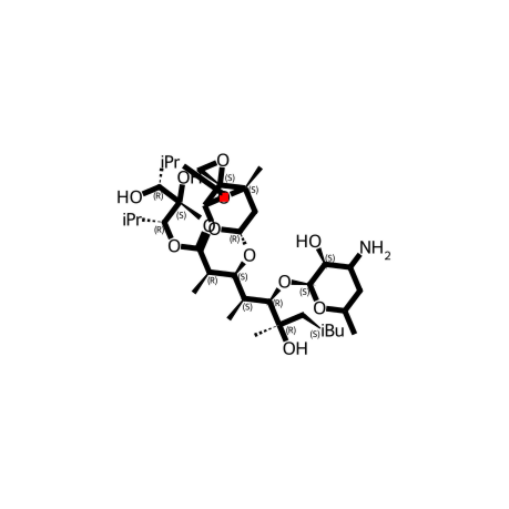 CC[C@H](C)C[C@@](C)(O)[C@H](O[C@@H]1OC(C)CC(N)[C@@H]1O)[C@@H](C)[C@H](O[C@H]1C[C@]2(C)OC(C)C(O1)[C@@]21CO1)[C@@H](C)C(=O)O[C@H](C(C)C)[C@@](C)(O)[C@H](O)C(C)C